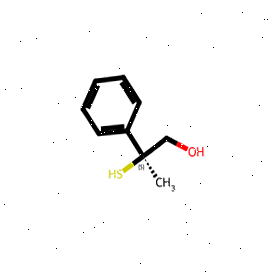 C[C@@](S)(CO)c1ccccc1